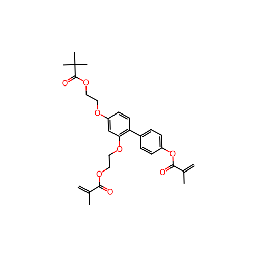 C=C(C)C(=O)OCCOc1cc(OCCOC(=O)C(C)(C)C)ccc1-c1ccc(OC(=O)C(=C)C)cc1